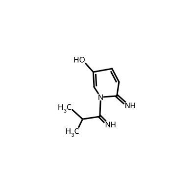 CC(C)C(=N)n1cc(O)ccc1=N